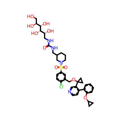 O=C(NCC1CCCN(S(=O)(=O)c2ccc(Cl)c(COC3(c4cnccc4-c4ccccc4OC4CC4)CC3)c2)C1)NC[C@@H](O)[C@H](O)[C@@H](O)[C@@H](O)CO